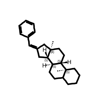 C[C@]12CC[C@H]3[C@@H](CCC4CCCC[C@@]43C)[C@@H]1CC(=Cc1ccccc1)C2